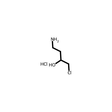 Cl.NCCC(O)CCl